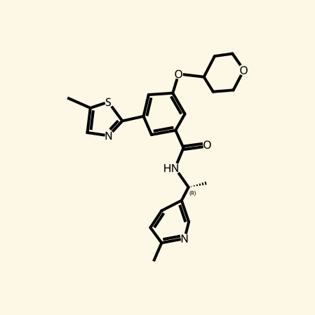 Cc1ccc([C@@H](C)NC(=O)c2cc(OC3CCOCC3)cc(-c3ncc(C)s3)c2)cn1